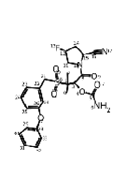 CC(C)([C@H](OC(N)=O)C(=O)N1C[C@@H](F)C[C@H]1C#N)S(=O)(=O)Cc1cccc(Oc2ccccc2)c1